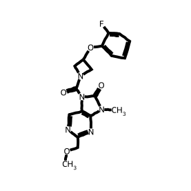 COCc1ncc2c(n1)n(C)c(=O)n2C(=O)N1CC(Oc2ccccc2F)C1